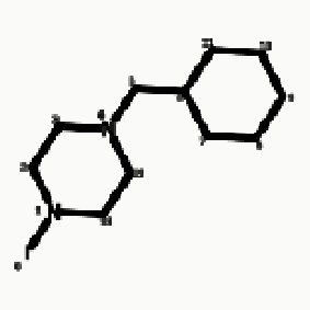 IN1CCN(CC2CCCCC2)CC1